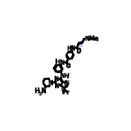 CNC/C=C/C(=O)Nc1ccc(C(=O)Nc2cccc(Nc3nc(N4CCCC(N)C4)nc4c3ncn4C(C)C)c2)cc1